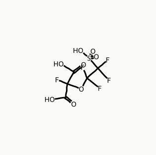 O=C(O)C(F)(OC(F)(F)C(F)(F)S(=O)(=O)O)C(=O)O